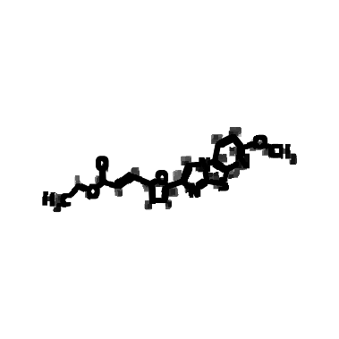 CCOC(=O)/C=C/c1ccc(-c2cn3c(n2)sc2nc(OC)ccc23)o1